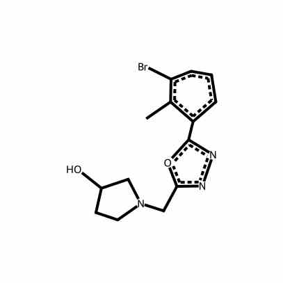 Cc1c(Br)cccc1-c1nnc(CN2CCC(O)C2)o1